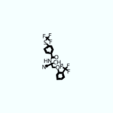 CC(C#N)(COc1ccccc1C(F)(F)F)NC(=O)c1ccc(SC(F)(F)F)cc1